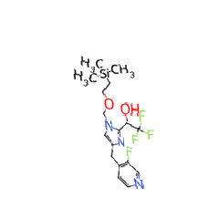 C[Si](C)(C)CCOCn1cc(Cc2ccncc2F)nc1C(O)C(F)(F)F